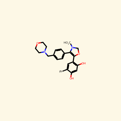 CC(C)c1cc(C2=C(c3ccc(CN4CCOCC4)cc3)N(C(=O)O)CO2)c(O)cc1O